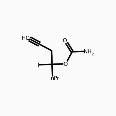 C#CCC(I)(CCC)OC(N)=O